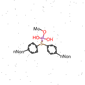 CCCCCCCCCc1ccc(S(c2ccc(CCCCCCCCC)cc2)=P(O)(O)[O][Mo])cc1